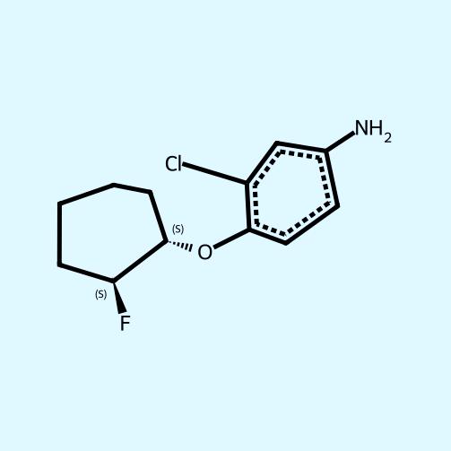 Nc1ccc(O[C@H]2CCCC[C@@H]2F)c(Cl)c1